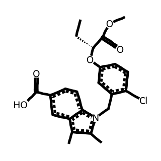 CC[C@@H](Oc1ccc(Cl)c(Cn2c(C)c(C)c3cc(C(=O)O)ccc32)c1)C(=O)OC